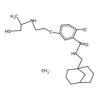 CC(CO)NCCCc1ccc(Cl)c(C(=O)NCC23CCCC(CCC2)C3)c1.[CH2]